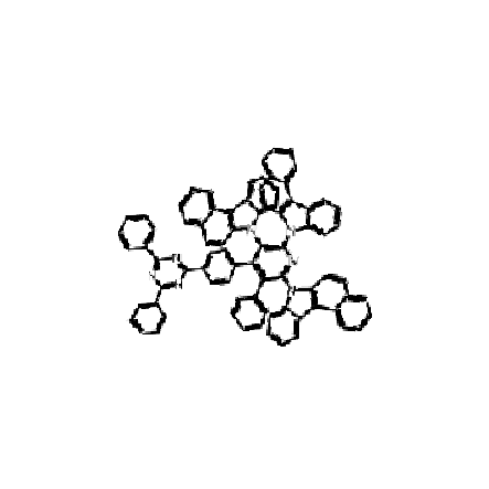 c1ccc(-c2nc(-c3ccccc3)nc(-c3ccc(-c4c(-c5ccccc5)c(-n5c6ccccc6c6c7ccccc7ccc65)nc(-n5c6ccccc6c6c7ccccc7ccc65)c4-n4c5ccccc5c5c6ccccc6ccc54)cc3)n2)cc1